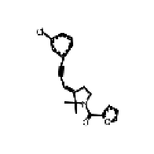 CC1(C)/C(=C/C#Cc2cccc(Cl)c2)CCN1C(=O)c1ccco1